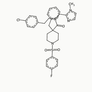 Cn1ccnc1CN(CCc1ccc(Cl)cc1)C(=O)C1(Cc2ccccc2)CCN(S(=O)(=O)c2ccc(F)cc2)CC1